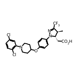 C[C@@H]1C(C(F)(F)F)=NN(c2ccc(OC3CCN(c4cc(Cl)ccc4Cl)CC3)cc2)[C@H]1CC(=O)O